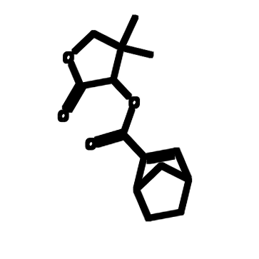 CC1(C)COC(=O)C1OC(=O)C1=CC2CCC1C2